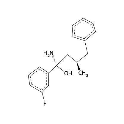 C[C@H](Cc1ccccc1)C[C@@](N)(O)c1cccc(F)c1